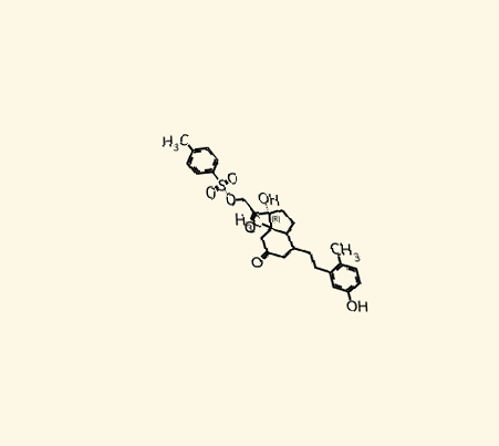 Cc1ccc(S(=O)(=O)OCC(=O)[C@@]2(O)CCC3C(CCc4cc(O)ccc4C)CC(=O)CC32C)cc1